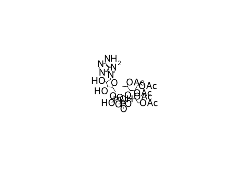 CC(=O)OC[C@H](OC(C)=O)C(OC(OP(=O)(O)OP(=O)(O)OCC1OC(n2cnc3c(N)ncnc32)C(O)C1O)[C@@H](COC(C)=O)OC(C)=O)[C@H](C)OC(C)=O